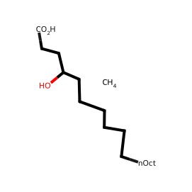 C.CCCCCCCCCCCCCCC(O)CCC(=O)O